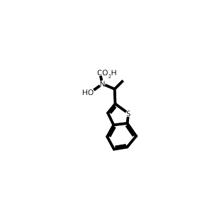 CC(c1cc2ccccc2s1)N(O)C(=O)O